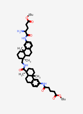 CC(C)(C)OC(=O)CCCC(=O)Nc1ccc2c(c1)C1(C)CCC[C@](C)(C(=O)NC[C@@]3(C)CCCC4(C)c5cc(NC(=O)C(N)CCC(=O)OC(C)(C)C)ccc5CCC43)C1CC2